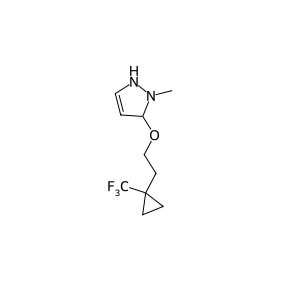 CN1NC=CC1OCCC1(C(F)(F)F)CC1